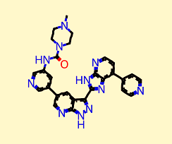 CN1CCN(C(=O)Nc2cncc(-c3cnc4[nH]nc(-c5nc6c(-c7ccncc7)ccnc6[nH]5)c4c3)c2)CC1